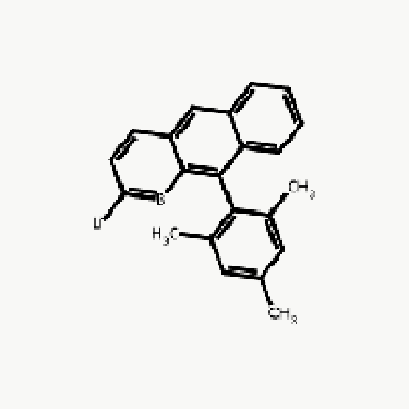 [Li][c]1bc2c(-c3c(C)cc(C)cc3C)c3ccccc3cc2cc1